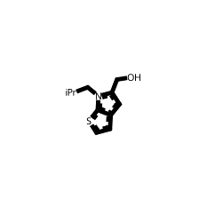 CC(C)Cn1c(CO)cc2ccsc21